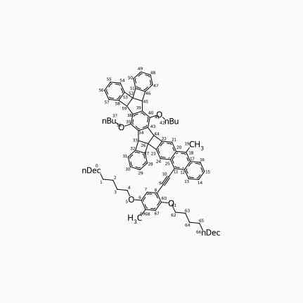 CCCCCCCCCCCCCCOc1cc(C#Cc2c3ccccc3c(C)c3cc4c(cc23)C23c5ccccc5C2c2c(OCCCC)c5c(c(OCCCC)c2C43)C2c3ccccc3C23c2ccccc2C53)c(OCCCCCCCCCCCCCC)cc1C